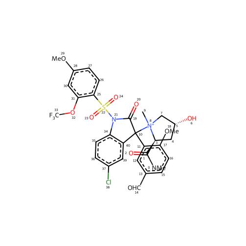 CNC(=O)[C@@H]1C[C@@H](O)C[N+]1(C)C1(c2cc(C=O)ccc2OC)C(=O)N(S(=O)(=O)c2ccc(OC)cc2OC(F)(F)F)c2ccc(Cl)cc21